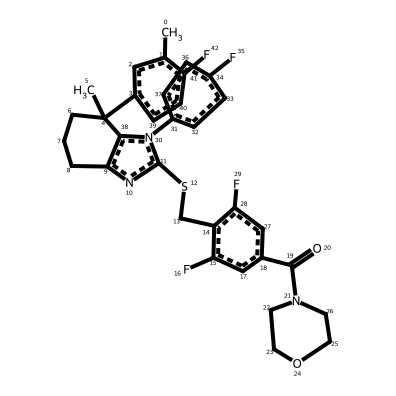 Cc1cc(C2(C)CCCc3nc(SCc4c(F)cc(C(=O)N5CCOCC5)cc4F)n(-c4ccc(F)cc4)c32)ccc1F